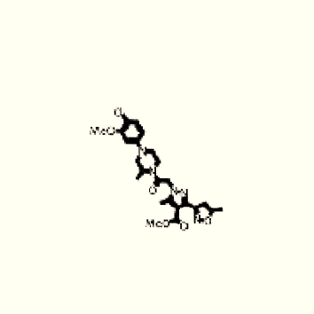 COC(=O)c1c(-c2cc(C)on2)nn(CC(=O)N2CCN(c3ccc(Cl)c(OC)c3)CC2C)c1C